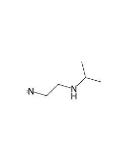 CC(C)NCC[N]